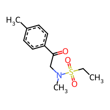 CCS(=O)(=O)N(C)CC(=O)c1ccc(C)cc1